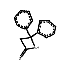 O=C1CC(c2ccccc2)(c2ccccc2)N1